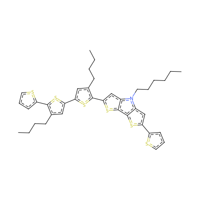 CCCCCCn1c2cc(-c3cccs3)sc2c2sc(-c3sc(-c4cc(CCCC)c(-c5cccs5)s4)cc3CCCC)cc21